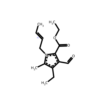 C/C=C/Cn1c(C)c(CC)c(C=O)c1C(=O)OCC